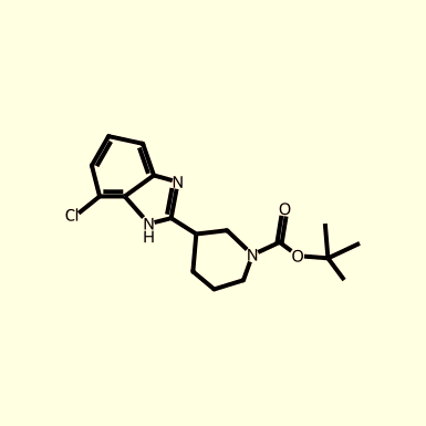 CC(C)(C)OC(=O)N1CCCC(c2nc3cccc(Cl)c3[nH]2)C1